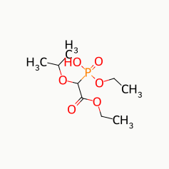 CCOC(=O)C(OC(C)C)P(=O)(O)OCC